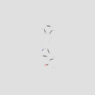 COC(=O)c1coc2c(OCCc3c(Cl)ccc(F)c3Cl)c(N)ncc12